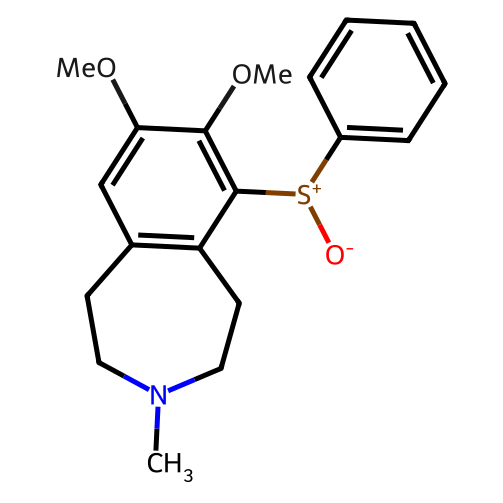 COc1cc2c(c([S+]([O-])c3ccccc3)c1OC)CCN(C)CC2